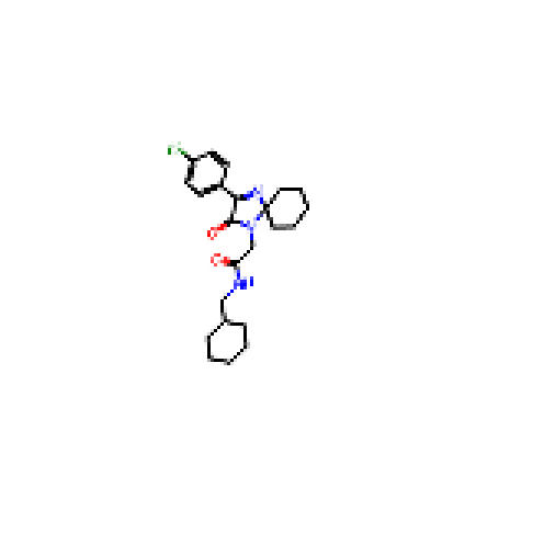 O=C(CN1C(=O)C(c2ccc(Cl)cc2)=NC12CCCCC2)NCC1CCCCC1